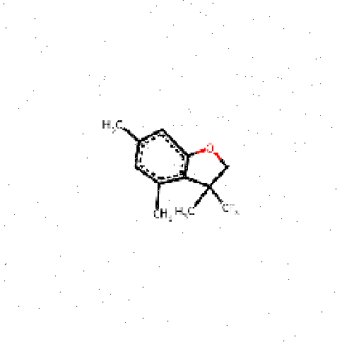 Cc1cc(C)c2c(c1)OCC2(C)C(F)(F)F